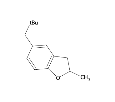 CC1Cc2cc(CC(C)(C)C)ccc2O1